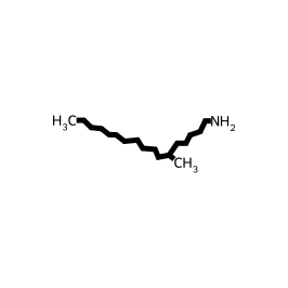 CCCCCCCCCCCC(C)CCCCCN